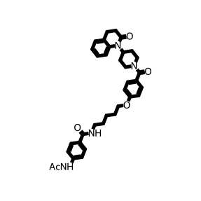 CC(=O)Nc1ccc(C(=O)NCCCCCOc2ccc(C(=O)N3CCC(N4C(=O)CCc5ccccc54)CC3)cc2)cc1